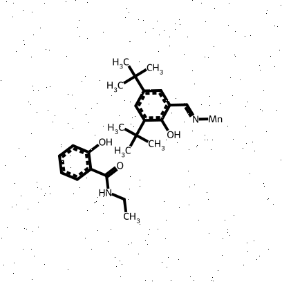 CC(C)(C)c1cc(C=[N][Mn])c(O)c(C(C)(C)C)c1.CCNC(=O)c1ccccc1O